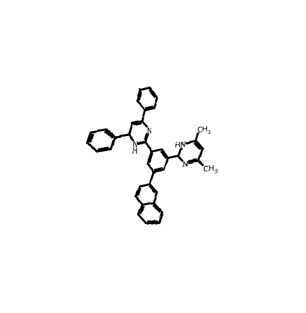 CC1=CC(C)=NC(c2cc(C3=NC(c4ccccc4)=CC(c4ccccc4)N3)cc(-c3ccc4ccccc4c3)c2)N1